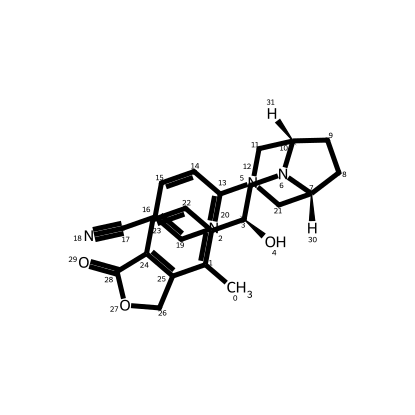 Cc1c([C@H](O)CN2[C@@H]3CC[C@H]2CN(c2ccc(C#N)cn2)C3)ccc2c1COC2=O